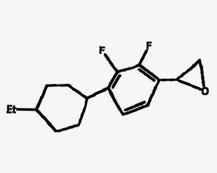 CCC1CCC(c2ccc(C3CO3)c(F)c2F)CC1